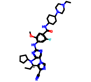 CC[C@@H]1c2c(C#N)ncn2-c2cnc(Nc3cc(F)c(C(=O)NC4CCC(N5CCN(CC)CC5)CC4)cc3OC)nc2N1C1CCCC1